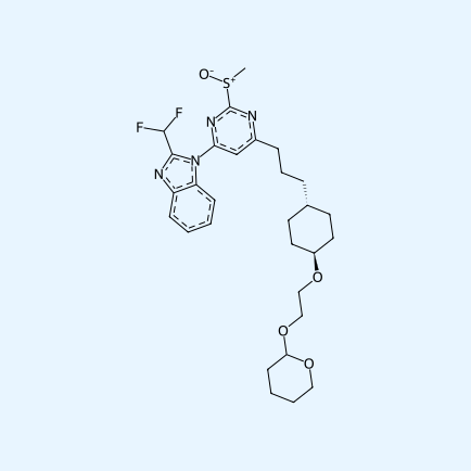 C[S+]([O-])c1nc(CCC[C@H]2CC[C@H](OCCOC3CCCCO3)CC2)cc(-n2c(C(F)F)nc3ccccc32)n1